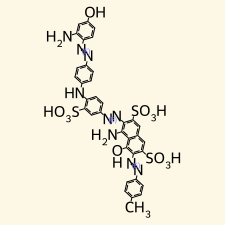 Cc1ccc(/N=N/c2c(S(=O)(=O)O)cc3cc(S(=O)(=O)O)c(/N=N/c4ccc(Nc5ccc(/N=N/c6ccc(O)cc6N)cc5)c(S(=O)(=O)O)c4)c(N)c3c2O)cc1